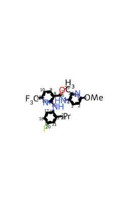 COc1ccc(NC(=O)c2ccc(C(F)(F)F)nc2Nc2ccc(F)cc2C(C)C)c(C)n1